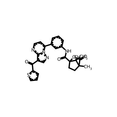 CC12CCC(C(=O)Nc3cccc(-c4ccnc5c(C(=O)c6cccs6)cnn45)c3)(OC1=O)C2(C)C